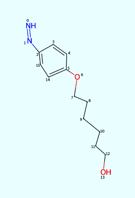 N=Nc1ccc(OCCCCCCO)cc1